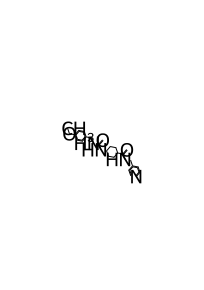 COc1ccc(CNC(=O)NC2CCC(C(=O)NCc3ccncc3)CC2)cc1